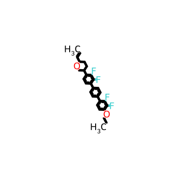 C/C=C/C1CCC(c2ccc(-c3ccc(-c4ccc(OCCC)c(F)c4F)cc3)c(F)c2F)CO1